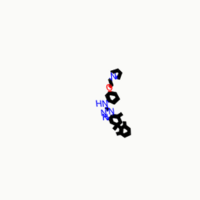 CC1=c2nc(Nc3cccc(OCCN4CCCC4)c3)nnc2=CC(C)(c2c(C)cccc2C)C1